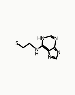 [S]CCNc1[nH]cnc2ncnc1-2